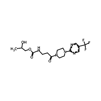 CC(O)COC(=O)NCCC(=O)N1CCN(c2ncc(C(F)(F)F)cn2)CC1